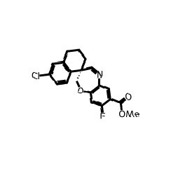 COC(=O)c1cc2c(cc1F)OC[C@@]1(C=N2)CCCc2cc(Cl)ccc21